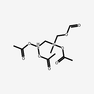 CC(=O)O[SiH](C[Si](C)(COC=O)OC(C)=O)OC(C)=O